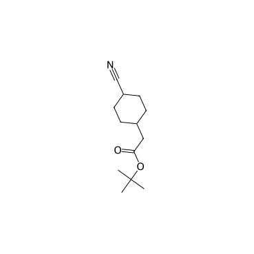 CC(C)(C)OC(=O)CC1CCC(C#N)CC1